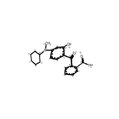 CN(c1ccc(C(=O)c2ccccc2C(=O)O)c(O)c1)C1CCCCC1